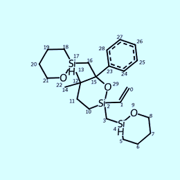 C=C[Si]1(C[SiH]2CCCCO2)CCC(C)(C)C(C[SiH]2CCCCO2)(c2ccccc2)O1